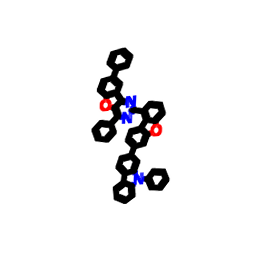 c1ccc(-c2ccc3oc4c(-c5ccccc5)nc(-c5cccc6oc7cc(-c8ccc9c%10ccccc%10n(-c%10ccccc%10)c9c8)ccc7c56)nc4c3c2)cc1